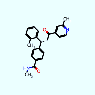 CNC(=O)c1ccc([C@@H](CC(=O)c2ccnc(C)c2)c2ccccc2C)cc1